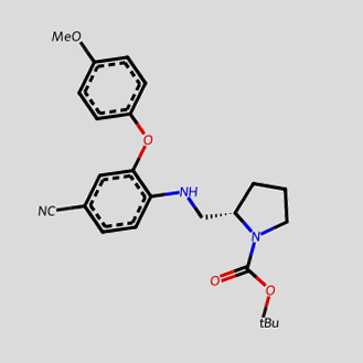 COc1ccc(Oc2cc(C#N)ccc2NC[C@@H]2CCCN2C(=O)OC(C)(C)C)cc1